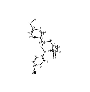 CCc1cnc(N(CCc2ccc(Br)cc2)Cc2nc[nH]n2)nc1